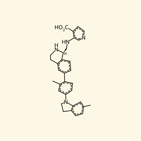 Cc1ccc2c(c1)N(c1ccc(-c3ccc4c(c3)CCN[C@H]4CNc3cnccc3C(=O)O)c(C)c1)CC2